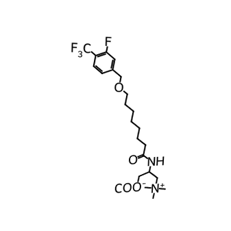 C[N+](C)(C)CC(CC(=O)[O-])NC(=O)CCCCCCCOCc1ccc(C(F)(F)F)c(F)c1